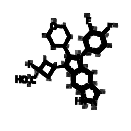 O=C(O)[C@]1(F)C[C@@H](c2c(C3CCOCC3)n(-c3ccc(F)c(F)c3)c3cc4cn[nH]c4cc32)C1